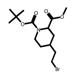 COC(=O)C1CC(CCBr)CCN1C(=O)OC(C)(C)C